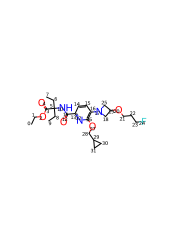 CCOC(=O)C(CC)(CC)NC(=O)c1ccc(N2CC(OCCCF)C2)c(OCC2CC2)n1